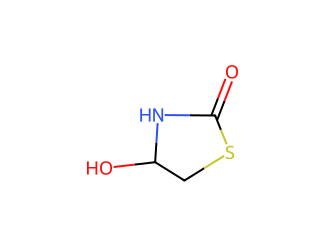 O=C1NC(O)CS1